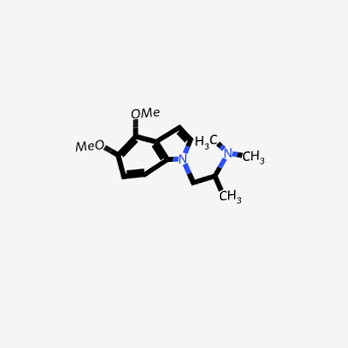 COc1ccc2c(ccn2CC(C)N(C)C)c1OC